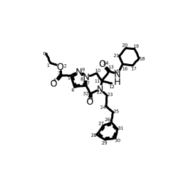 CCOC(=O)c1cc2n(n1)CC(C)(C(=O)NC1CCCCC1)N(CCCc1ccccc1)C2=O